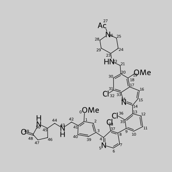 COc1cc(-c2nccc(-c3cccc(-c4ccc5c(OC)c(CNC6CCN(C(C)=O)CC6)cc(Cl)c5n4)c3Cl)c2Cl)ccc1CNCC1CCC(=O)N1